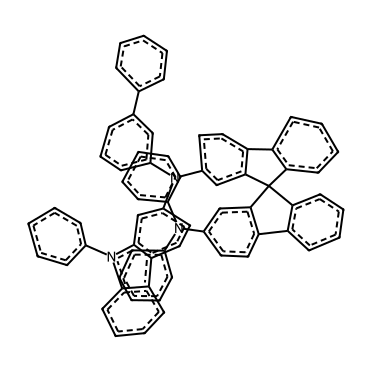 c1ccc(-c2cccc(N(c3ccc4c(c3)C3(c5ccccc5-c5ccc(N(c6ccccc6)c6ccccc6)cc53)c3ccccc3-4)c3ccc4c5ccccc5n(-c5ccccc5)c4c3)c2)cc1